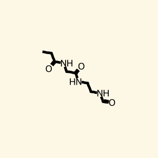 CCC(=O)NCC(=O)NCCNC=O